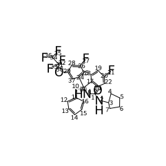 O=C(NC1CCCC1)N[C@](Cc1ccccc1)(c1ccc(F)cc1)c1cc(F)cc(OC(F)(F)C(F)F)c1